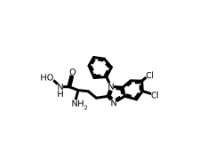 NC(CCc1nc2cc(Cl)c(Cl)cc2n1-c1ccccc1)C(=O)NO